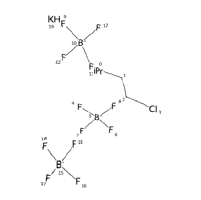 CC(C)CCCl.F[B-](F)(F)F.F[B-](F)(F)F.F[B-](F)(F)F.[KH]